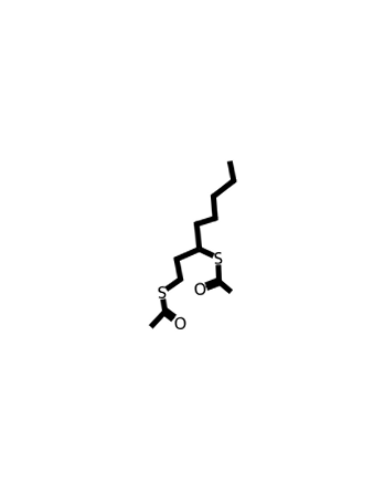 CCCCCC(CCSC(C)=O)SC(C)=O